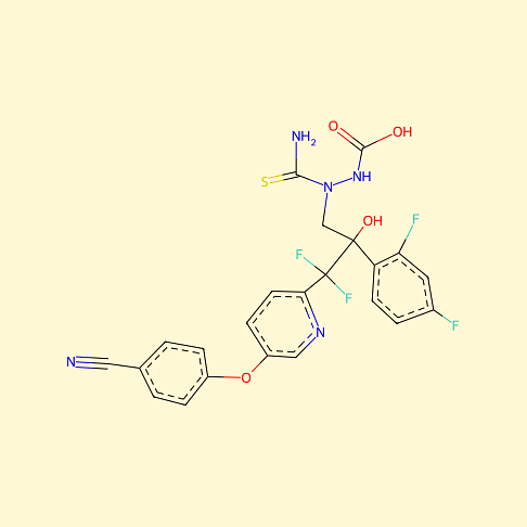 N#Cc1ccc(Oc2ccc(C(F)(F)C(O)(CN(NC(=O)O)C(N)=S)c3ccc(F)cc3F)nc2)cc1